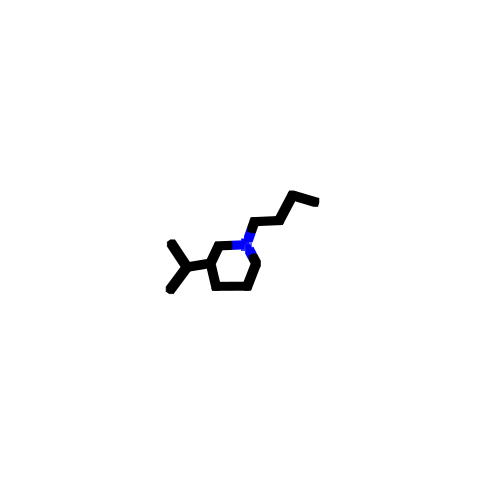 CCCCN1CCCC(C(C)C)C1